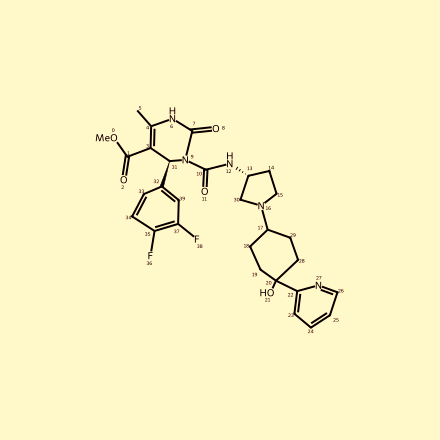 COC(=O)C1=C(C)NC(=O)N(C(=O)N[C@@H]2CCN(C3CCC(O)(c4ccccn4)CC3)C2)[C@H]1c1ccc(F)c(F)c1